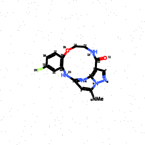 CNc1cc2nc3c(cnn13)C(=O)NCCOc1ccc(F)cc1N2